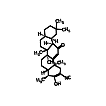 [C-]#[N+]C1=C(O)[C@@H](C)[C@@H]2CC[C@]3(C)C(=CC(=O)[C@@H]4[C@@H]5CC(C)(C)CC[C@@H]5CC[C@]43C)[C@@]2(C)C1